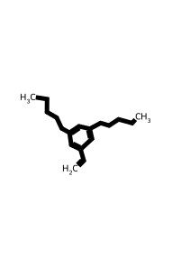 C=Cc1cc(CCCCC)cc(CCCCC)c1